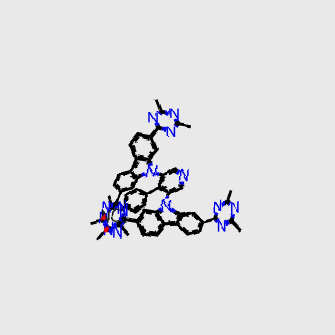 Cc1nc(C)nc(-c2ccc3c4ccc(-c5nc(C)nc(C)n5)cc4n(-c4cncc(-n5c6cc(-c7nc(C)nc(C)n7)ccc6c6ccc(-c7nc(C)nc(C)n7)cc65)c4-c4ccc(C#N)cc4)c3c2)n1